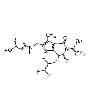 Cc1c(CNN=CC(=O)O)sc2c1c(=O)n(C(C)C)c(=O)n2CC(F)C(F)F